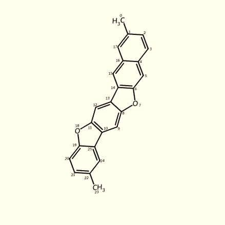 Cc1ccc2cc3oc4cc5c(cc4c3cc2c1)oc1ccc(C)cc15